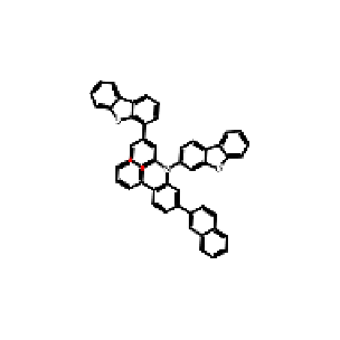 c1ccc(-c2ccc(-c3ccc4ccccc4c3)cc2N(c2cccc(-c3cccc4c3sc3ccccc34)c2)c2ccc3c(c2)oc2ccccc23)cc1